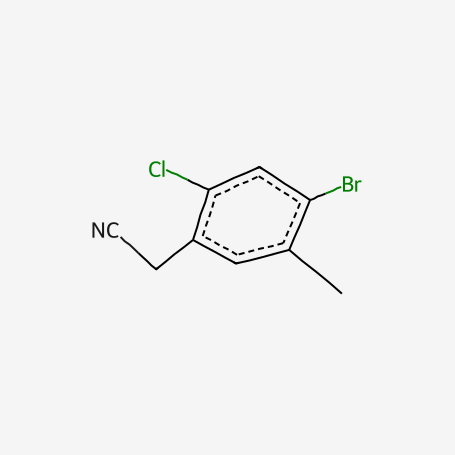 Cc1cc(CC#N)c(Cl)cc1Br